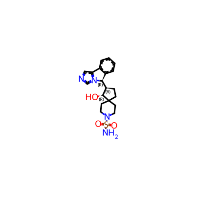 NS(=O)(=O)N1CCC2(CC[C@H]([C@@H]3c4ccccc4-c4cncn43)[C@H]2O)CC1